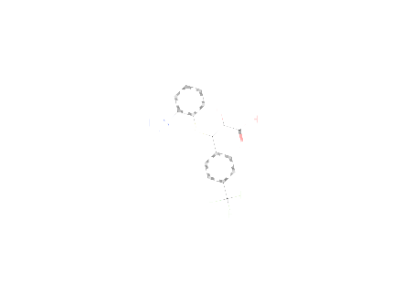 Nc1ccccc1SC(c1ccc(C(F)(F)F)cc1)C(O)C(=O)O